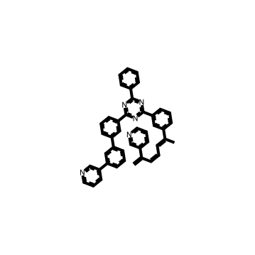 C=C(/C=C\C=C(/C)c1cccc(-c2nc(-c3ccccc3)nc(-c3cccc(-c4cccc(-c5cccnc5)c4)c3)n2)c1)c1cccnc1